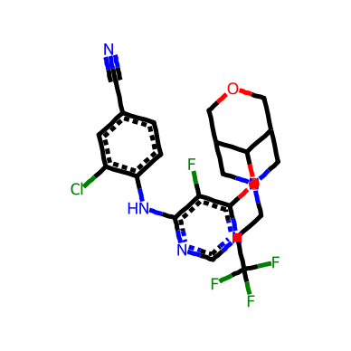 N#Cc1ccc(Nc2ncnc(OC3C4COCC3CN(CCC(F)(F)F)C4)c2F)c(Cl)c1